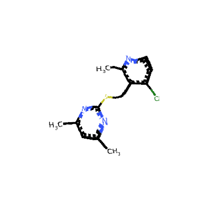 Cc1cc(C)nc(SCc2c(Cl)ccnc2C)n1